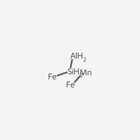 [AlH2][SiH2][Fe].[Mn][Fe]